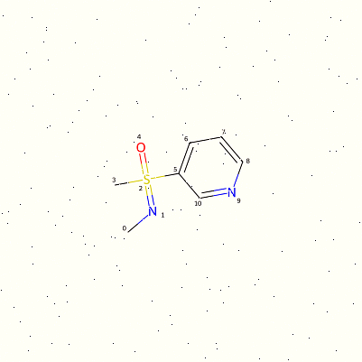 CN=S(C)(=O)c1cccnc1